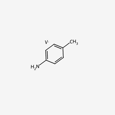 Cc1ccc(N)cc1.[V]